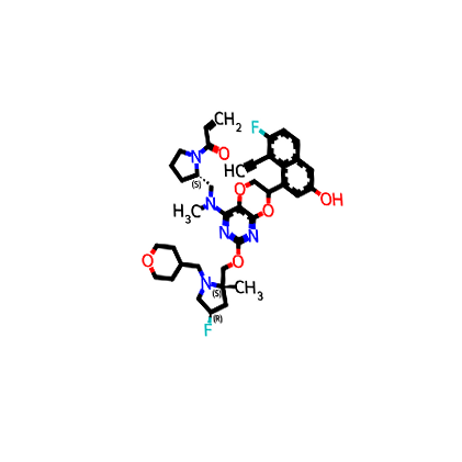 C#Cc1c(F)ccc2cc(O)cc(C3COc4c(nc(OC[C@]5(C)C[C@@H](F)CN5CC5CCOCC5)nc4N(C)C[C@@H]4CCCN4C(=O)C=C)O3)c12